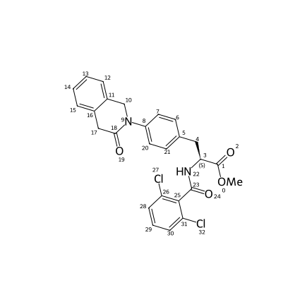 COC(=O)[C@H](Cc1ccc(N2Cc3ccccc3CC2=O)cc1)NC(=O)c1c(Cl)cccc1Cl